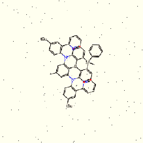 Cc1cc2c3c(c1)N(c1ccc(C(C)(C)C)cc1-c1ccccn1)c1cccc4c1B3c1c(cccc1[Si]4(C)c1ccccc1)N2c1ccc(C(C)(C)C)cc1-c1ccccn1